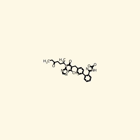 CCC(=O)CCC(C)n1c(=O)c(Cc2ccc(-c3ccccc3-c3noc(=O)[nH]3)cc2)c(C)n2ncnc12